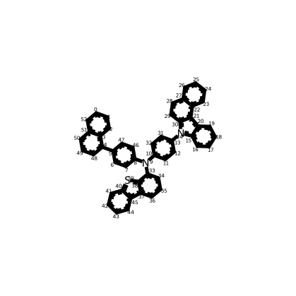 c1ccc2c(-c3ccc(N(c4ccc(-n5c6ccccc6c6c7ccccc7ccc65)cc4)c4cccc5c4sc4ccccc45)cc3)cccc2c1